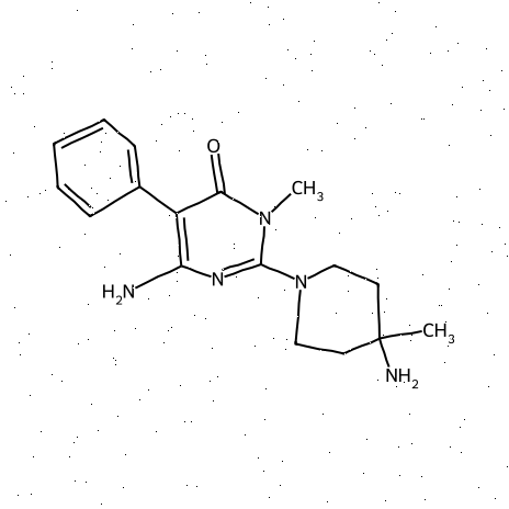 Cn1c(N2CCC(C)(N)CC2)nc(N)c(-c2ccccc2)c1=O